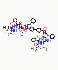 CN[C@@H](C)C(=O)N[C@H](C(=O)N1CCNC[C@H]1CN(CCc1ccccc1)C(=O)c1ccc(-c2ccc(C(=O)N(CCc3ccccc3)C[C@@H]3CNCCN3C(=O)[C@@H](NC(=O)C(C)C)C3CCCCC3)cc2)cc1)C1CCCCC1